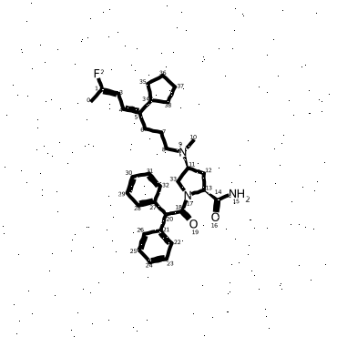 C/C(F)=C\C=C(\CCCN(C)[C@H]1C[C@@H](C(N)=O)N(C(=O)C(c2ccccc2)c2ccccc2)C1)C1CCCC1